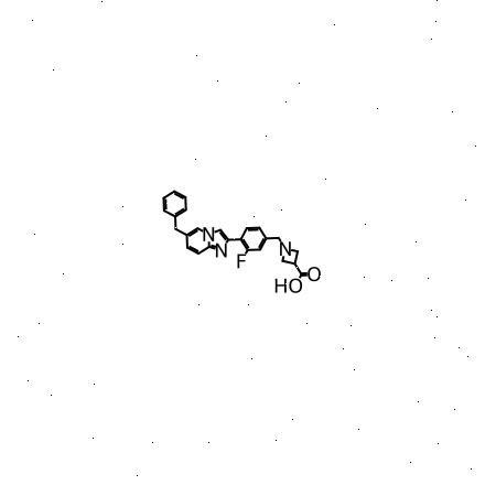 O=C(O)C1CN(Cc2ccc(-c3cn4cc(Cc5ccccc5)ccc4n3)c(F)c2)C1